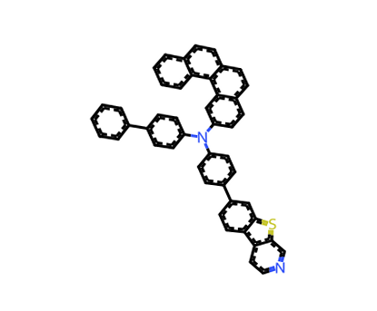 c1ccc(-c2ccc(N(c3ccc(-c4ccc5c(c4)sc4cnccc45)cc3)c3ccc4ccc5ccc6ccccc6c5c4c3)cc2)cc1